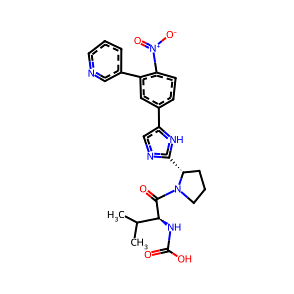 CC(C)[C@H](NC(=O)O)C(=O)N1CCC[C@H]1c1ncc(-c2ccc([N+](=O)[O-])c(-c3cccnc3)c2)[nH]1